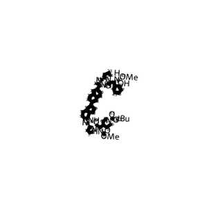 COC(=O)N[C@H](C(=O)N1CCC[C@H]1c1nc2c([nH]1)-c1ccc(-c3ccc4cc(-c5cnc([C@@H]6CCCN6C(=O)[C@H](NC(O)OC)c6ccccc6)[nH]5)ccc4c3)cc1CC2)C1CCN(C(=O)OC(C)(C)C)CC1